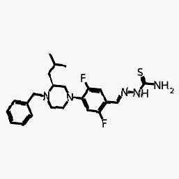 CC(C)C[C@H]1CN(c2cc(F)c(C=NNC(N)=S)cc2F)CCN1Cc1ccccc1